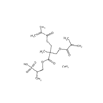 C=C(C)C(=O)OCC(C)(COC(=O)C(=C)C)C(=O)OCC(C)S(=O)(=O)O.[CaH2]